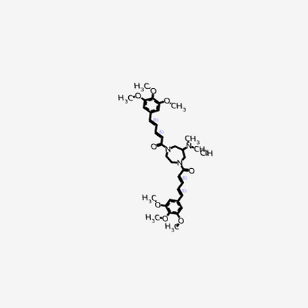 COc1cc(/C=C/C=C/C(=O)N2CCN(C(=O)/C=C/C=C/c3cc(OC)c(OC)c(OC)c3)CC(N(C)C)C2)cc(OC)c1OC.Cl